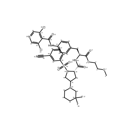 COCCOC(=O)[C@H](Cc1ccc(NC(=O)c2c(Cl)cncc2Cl)cc1)NC(=O)[C@@H]1CC(N2CCCC(F)(F)C2)CN1S(=O)(=O)c1cccc(C#N)c1